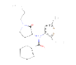 COCCN1CC[C@H](N(c2cc(C(C)(C)C)sc2C(=O)O)C(=O)[C@H]2CC[C@H](C)CC2)C1=O